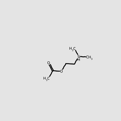 CC(=O)OCC[SiH](C)C